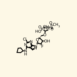 CS(=O)(=O)NCC(OC[C@H]1O[C@@H](n2ncc3c(NC4CCCC4)nc(Cl)nc32)[C@@H](F)[C@@H]1O)P(=O)(O)O